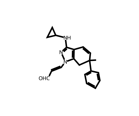 CC1(c2ccccc2)C=Cc2c(NC3CC3)nn(C=CC=O)c2C1